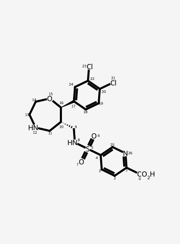 O=C(O)c1ccc(S(=O)(=O)NC[C@@H]2CNCCO[C@H]2c2ccc(Cl)c(Cl)c2)cn1